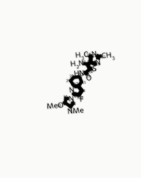 CNC1CN(c2nc3c(cc2F)CC(NC(=O)c2sc4nc(C)nc(C)c4c2N)CC3)CC1OC